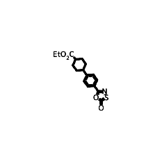 CCOC(=O)C1CCC(c2ccc(-c3nsc(=O)o3)cc2)CC1